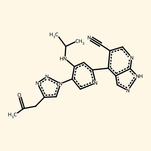 CC(=O)Cc1cn(-c2cnc(-c3c(C#N)cnc4[nH]ncc34)cc2NC(C)C)nn1